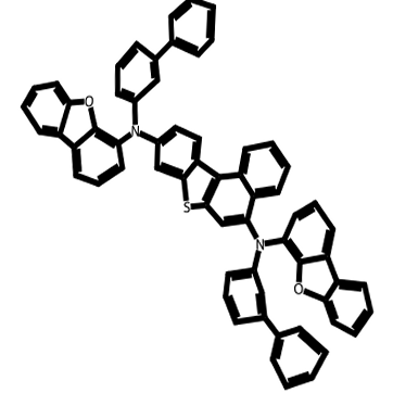 c1ccc(-c2cccc(N(c3ccc4c(c3)sc3cc(N(c5cccc(-c6ccccc6)c5)c5cccc6c5oc5ccccc56)c5ccccc5c34)c3cccc4c3oc3ccccc34)c2)cc1